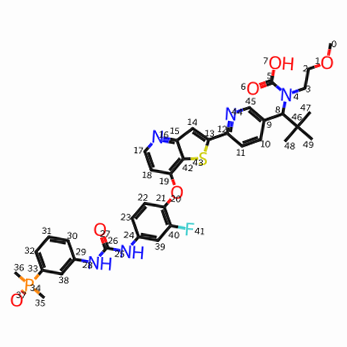 COCCN(C(=O)O)C(c1ccc(-c2cc3nccc(Oc4ccc(NC(=O)Nc5cccc(P(C)(C)=O)c5)cc4F)c3s2)nc1)C(C)(C)C